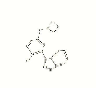 Clc1cnc(OC2CCC2)nc1-n1cnc2ccccc21